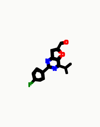 CC(C)c1nc(-c2ccc(F)cc2)nc2cc(C=O)oc12